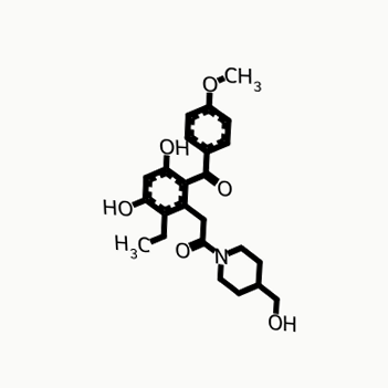 CCc1c(O)cc(O)c(C(=O)c2ccc(OC)cc2)c1CC(=O)N1CCC(CO)CC1